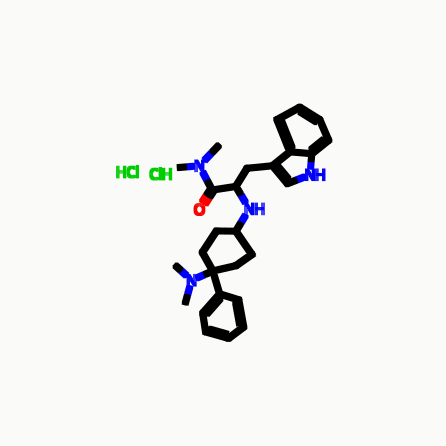 CN(C)C(=O)C(Cc1c[nH]c2ccccc12)NC1CCC(c2ccccc2)(N(C)C)CC1.Cl.Cl